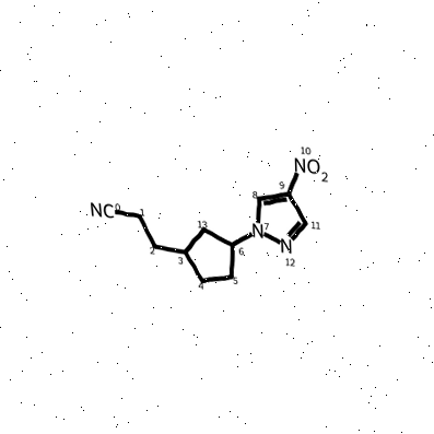 N#CCCC1CCC(n2cc([N+](=O)[O-])cn2)C1